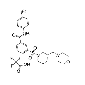 CC(C)c1ccc(NC(=O)c2cccc(S(=O)(=O)N3CCCC(CN4CCOCC4)C3)c2)cc1.O=C(O)C(F)(F)F